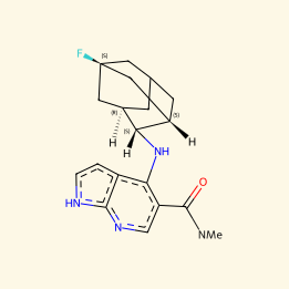 CNC(=O)c1cnc2[nH]ccc2c1N[C@@H]1[C@@H]2CC3C[C@H]1C[C@@](F)(C3)C2